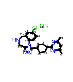 Cc1cc(C)nc(C2CCC(c3nnc4n3-c3ccc(Cl)cc3CNC4)CC2)n1.Cl